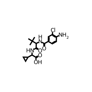 CC(C)(C)C(NC(=O)c1ccc(N)c(Cl)c1)C(=O)NC(C(=O)O)C1CC1